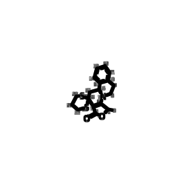 CC1OC(=O)C2=C1N1CCc3ccccc3C1CC21SCCCS1